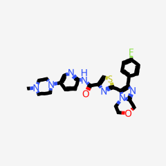 CN1CCN(c2ccc(NC(=O)c3csc(-c4c(-c5ccc(F)cc5)nc5n4CCOC5)n3)nc2)CC1